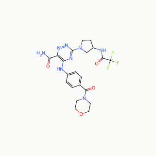 NC(=O)c1nnc(N2CCC(NC(=O)C(F)(F)F)C2)nc1Nc1ccc(C(=O)N2CCOCC2)cc1